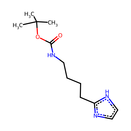 CC(C)(C)OC(=O)NCCCCc1ncc[nH]1